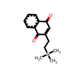 C[Si](C)(C)CCC1=CC(=O)c2ccccc2C1=O